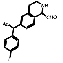 CC(=O)C(c1ccc(F)cc1)c1ccc2c(c1)CCNC2C=O